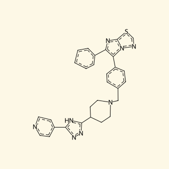 c1ccc(-c2nc3scnn3c2-c2ccc(CN3CCC(c4nnc(-c5ccncc5)[nH]4)CC3)cc2)cc1